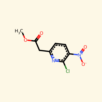 COC(=O)Cc1ccc([N+](=O)[O-])c(Cl)n1